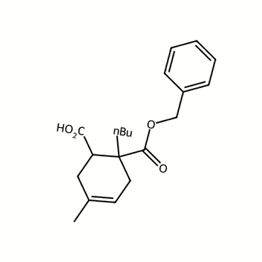 CCCCC1(C(=O)OCc2ccccc2)CC=C(C)CC1C(=O)O